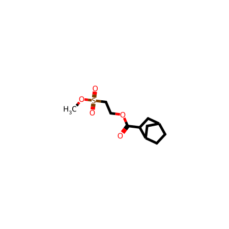 COS(=O)(=O)CCOC(=O)C1CC2CCC1C2